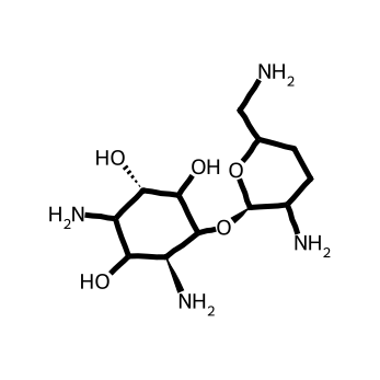 NCC1CCC(N)[C@@H](OC2C(O)[C@@H](O)C(N)C(O)[C@@H]2N)O1